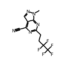 Cn1ncc2c(C#N)nc(CCC(F)(F)C(F)(F)F)nc21